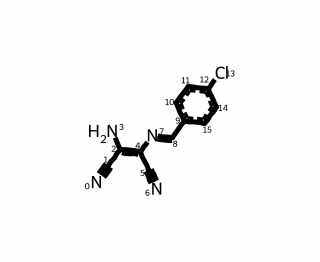 N#C/C(N)=C(\C#N)N=Cc1ccc(Cl)cc1